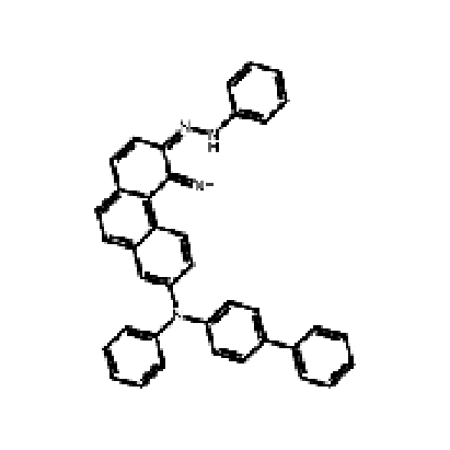 N=C1/C(=N\Nc2ccccc2)C=Cc2ccc3cc(N(c4ccccc4)c4ccc(-c5ccccc5)cc4)ccc3c21